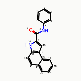 O=C(Nc1ccccc1)c1cc2c(ccc3ccccc32)[nH]1